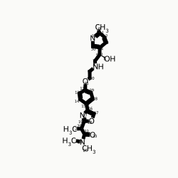 Cc1ccc([C@H](O)CNCCOc2ccc(-c3coc(C(C)C(=O)N(C)C)n3)cc2)cn1